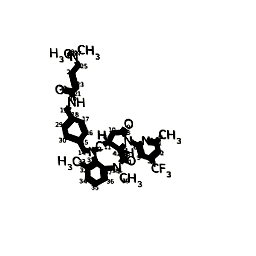 Cc1cc(C(F)(F)F)cc(N2C(=O)C[C@@H]3CN(Cc4ccc(CNC(=O)/C=C/CN(C)C)cc4)c4c(C)cccc4N(C)C(=O)[C@H]32)n1